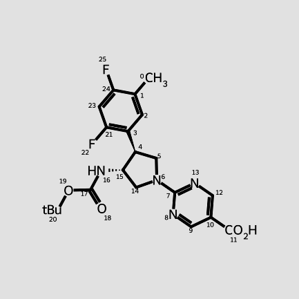 Cc1cc([C@H]2CN(c3ncc(C(=O)O)cn3)C[C@@H]2NC(=O)OC(C)(C)C)c(F)cc1F